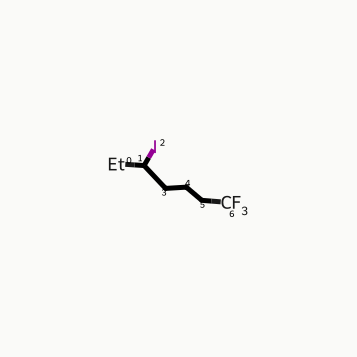 CCC(I)CCCC(F)(F)F